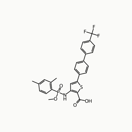 COP(=O)(Nc1cc(-c2ccc(-c3ccc(C(F)(F)F)cc3)cc2)sc1C(=O)O)c1ccc(C)cc1C